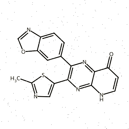 Cc1ncc(-c2nc3[nH]ccc(=O)c3nc2-c2ccc3ncoc3c2)s1